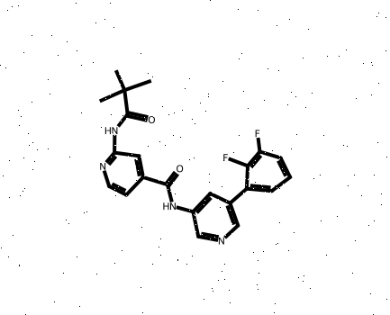 CC(C)(C)C(=O)Nc1cc(C(=O)Nc2cncc(-c3cccc(F)c3F)c2)ccn1